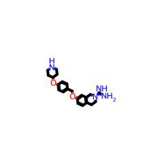 N=C(N)N1CCc2ccc(OCc3ccc(OC4CCNCC4)cc3)cc2C1